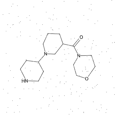 O=C(C1CCCN(C2CCNCC2)C1)N1CCOCC1